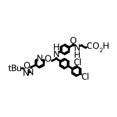 CC(C)(C)c1nnc(-c2ccc(OCC(Nc3ccc(C(=O)NCCC(=O)O)cc3)c3ccc(-c4ccc(Cl)cc4Cl)cc3)nc2)o1